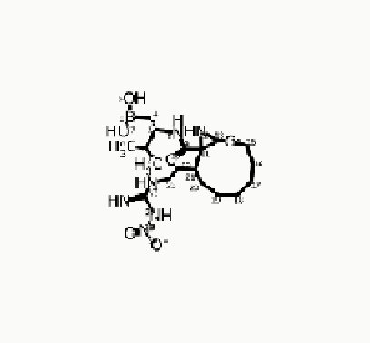 CC(C)[C@H](CB(O)O)NC(=O)C12NC1CCCCCCCC2CCNC(=N)N[N+](=O)[O-]